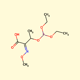 CCOP(OCC)OC(C)/C(=N/OC)C(=O)O